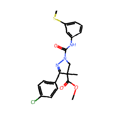 COC(=O)C1(C)CN(C(=O)Nc2cccc(SC)c2)N=C1c1ccc(Cl)cc1